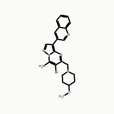 COC1CCN(Cc2nc3c(-c4cnc5ccccc5c4)cnn3c(N)c2Br)CC1